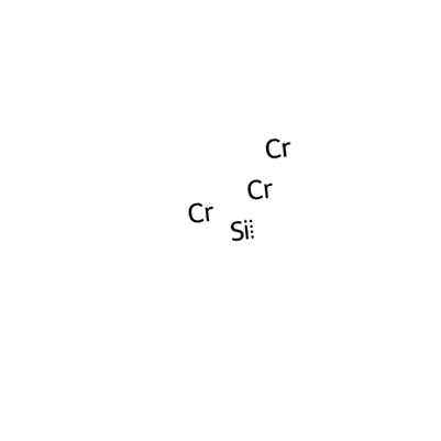 [Cr].[Cr].[Cr].[Si]